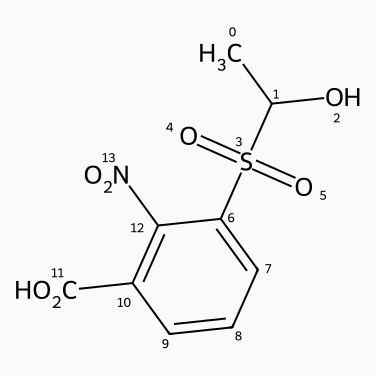 CC(O)S(=O)(=O)c1cccc(C(=O)O)c1[N+](=O)[O-]